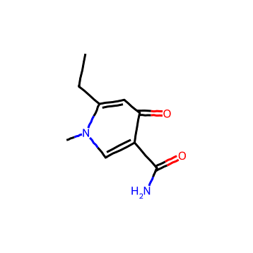 CCc1cc(=O)c(C(N)=O)cn1C